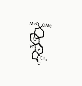 COC1(OC)CCC23O[C@]2(CC[C@@H]2C3=CC[C@]3(C)C(=O)CC[C@@H]23)C1